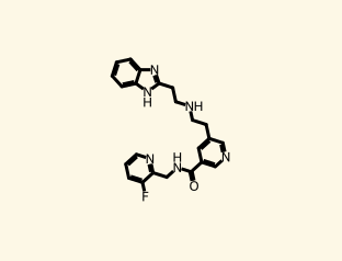 O=C(NCc1ncccc1F)c1cncc(CCNCCc2nc3ccccc3[nH]2)c1